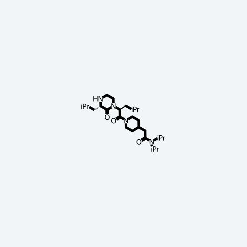 CC(C)C[C@@H]1NCCN([C@@H](CC(C)C)C(=O)N2CCC(CC(=O)N(C(C)C)C(C)C)CC2)C1=O